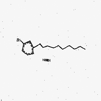 CCCCCCCCCCc1cccc(Br)c1.N#N